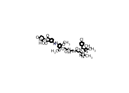 COc1cc(/N=N/c2ccc3c(c2)C(=O)N(C2CCC(=O)NC2=O)C3=O)cc(OC)c1OCC(=O)NCCNC(=O)CC1N=C(c2ccc(Cl)cc2)c2c(sc(C)c2C)-n2c(C)nnc21